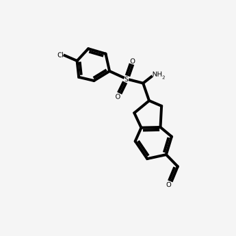 NC(C1Cc2ccc(C=O)cc2C1)S(=O)(=O)c1ccc(Cl)cc1